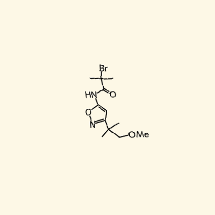 COCC(C)(C)c1cc(NC(=O)C(C)(C)Br)on1